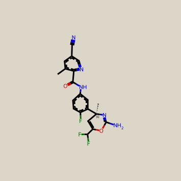 Cc1cc(C#N)cnc1C(=O)Nc1ccc(F)c([C@]2(C)C=C(C(F)F)OC(N)=N2)c1